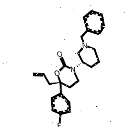 C=CC[C@]1(c2ccc(F)cc2)CCN([C@H]2CCCN(Cc3ccccc3)C2)C(=O)O1